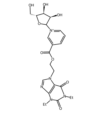 CCn1c(=O)c2c(ncn2CCOC(=O)c2ccc[n+](C3O[C@H](CO)[C@@H](O)[C@H]3O)c2)n(CC)c1=O